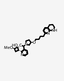 CO[C@H]1C[C@H](c2ncccc2C(C(=O)O)N2CC[C@@H](OCCCCc3ccc4c(n3)NCCC4)C2)C1